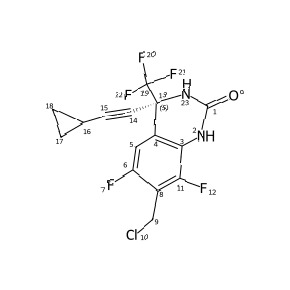 O=C1Nc2c(cc(F)c(CCl)c2F)[C@@](C#CC2CC2)(C(F)(F)F)N1